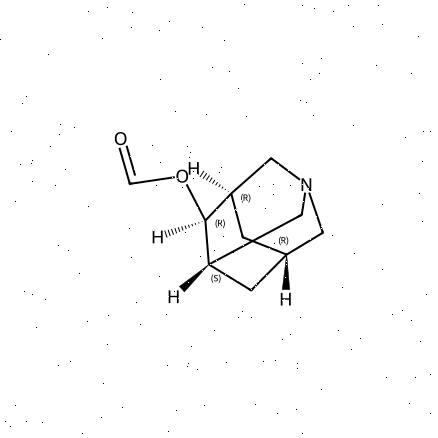 O=CO[C@H]1[C@@H]2C[C@H]3C[C@H]1CN(C3)C2